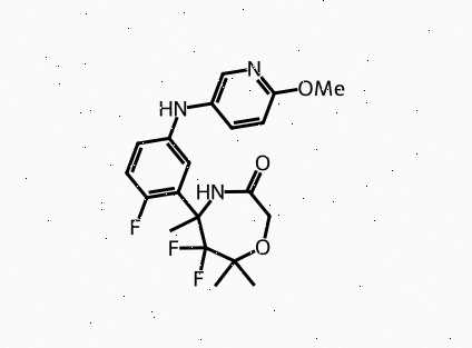 COc1ccc(Nc2ccc(F)c(C3(C)NC(=O)COC(C)(C)C3(F)F)c2)cn1